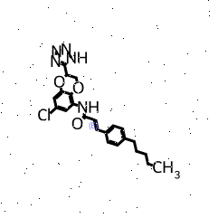 CCCCCc1ccc(/C=C/C(=O)Nc2cc(Cl)cc3c2OCC(c2nnn[nH]2)O3)cc1